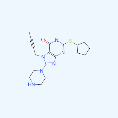 CC#CCn1c(N2CCNCC2)nc2nc(SC3CCCC3)n(C)c(=O)c21